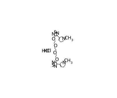 CN1CCC=C(c2nsnc2OCCOCCOCCOc2nsnc2C2=CCCN(C)C2)C1.Cl.Cl